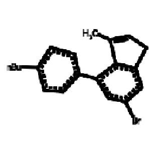 CCCCc1ccc(-c2cc(Br)cc3c2C(C)=CC3)cc1